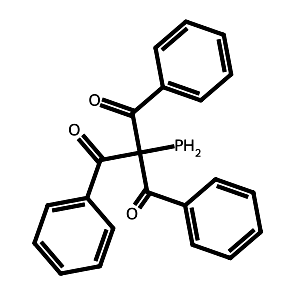 O=C(c1ccccc1)C(P)(C(=O)c1ccccc1)C(=O)c1ccccc1